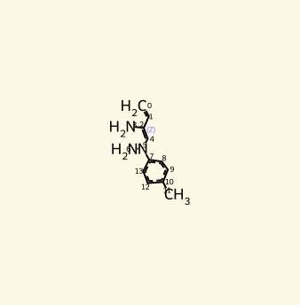 C=C/C(N)=C/N(N)c1ccc(C)cc1